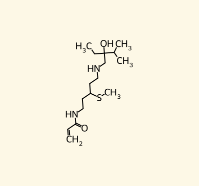 C=CC(=O)NCCC(CCNCC(O)(CC)C(C)C)SC